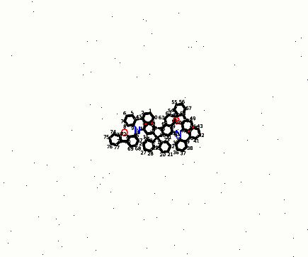 c1ccc(-c2ccccc2N(c2ccc3c(c2)C(c2ccccc2)(c2ccccc2)c2cc(N(c4ccccc4-c4ccccc4)c4cccc5c4oc4ccccc45)c4ccccc4c2-3)c2cccc3c2oc2ccccc23)cc1